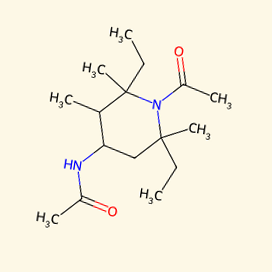 CCC1(C)CC(NC(C)=O)C(C)C(C)(CC)N1C(C)=O